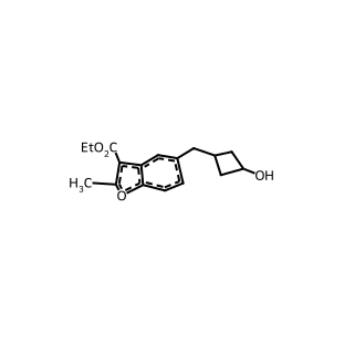 CCOC(=O)c1c(C)oc2ccc(CC3CC(O)C3)cc12